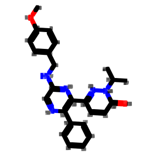 COc1ccc(CNc2cnc(-c3ccccc3)c(-c3ccc(=O)n(C(C)C)n3)n2)cc1